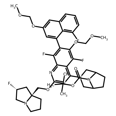 COCOc1cc(-c2c(OCOC)c(F)c3c(N4CC5CCC(C4)N5C(=O)OC(C)(C)C)nc(OC[C@@]45CCCN4C[C@H](F)C5)nc3c2F)c2c(F)cccc2c1